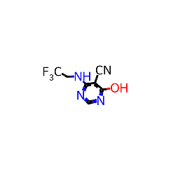 N#Cc1c(O)ncnc1NCC(F)(F)F